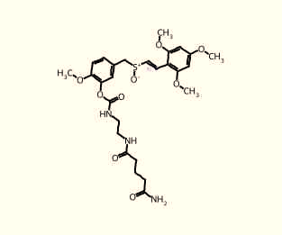 COc1cc(OC)c(/C=C/[S+]([O-])Cc2ccc(OC)c(OC(=O)NCCNC(=O)CCCC(N)=O)c2)c(OC)c1